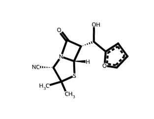 CC1(C)S[C@H]2[C@@H](C(O)c3ccco3)C(=O)N2[C@H]1C#N